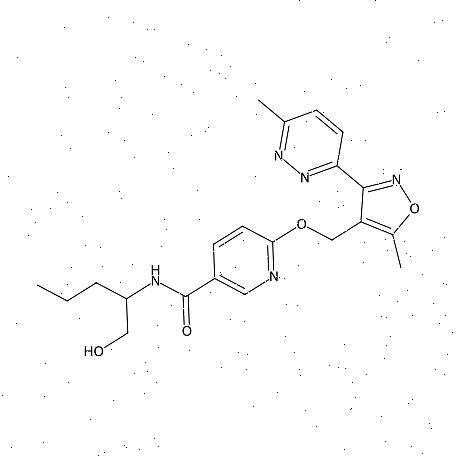 CCCC(CO)NC(=O)c1ccc(OCc2c(-c3ccc(C)nn3)noc2C)nc1